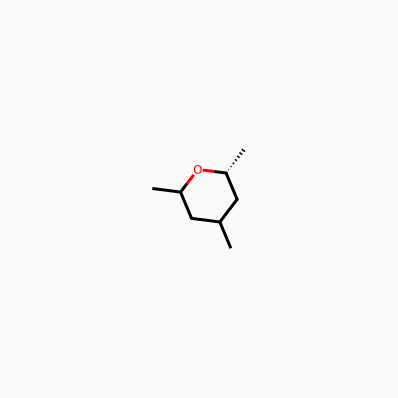 CC1CC(C)O[C@H](C)C1